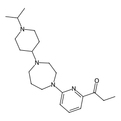 CCC(=O)c1cccc(N2CCCN(C3CCN(C(C)C)CC3)CC2)n1